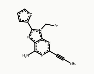 CCCCC#Cc1nc(N)c2nc(-c3ccco3)n(CC(C)C)c2n1